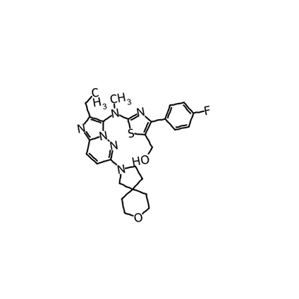 CCc1nc2ccc(N3CCC4(CCOCC4)C3)nn2c1N(C)c1nc(-c2ccc(F)cc2)c(CO)s1